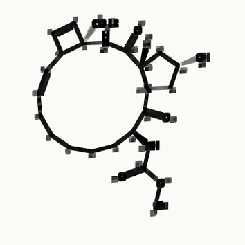 CCOC(=O)[C@@]12C=CC1/C=C\CCCCC[C@H](NC(=O)OC(C)(C)C)C(=O)N1C[C@@H](O)C[C@H]1C(=O)N2